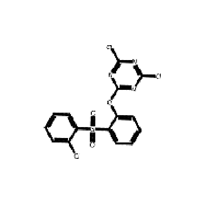 O=S(=O)(c1ccccc1Cl)c1ccccc1Oc1nc(Cl)nc(Cl)n1